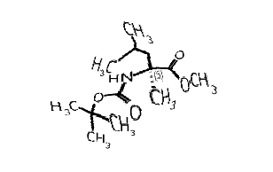 COC(=O)[C@](C)(CC(C)C)NC(=O)OC(C)(C)C